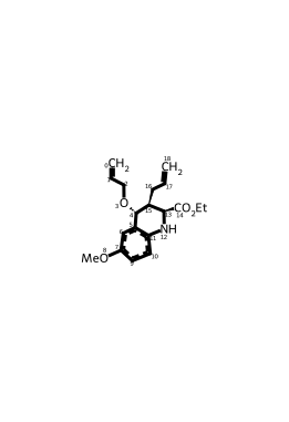 C=CCO[C@H]1c2cc(OC)ccc2N[C@H](C(=O)OCC)[C@@H]1CC=C